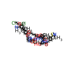 Cc1ncsc1-c1ccc(CNC(=O)[C@@H]2C[C@@H](O)CN2C(=O)[C@@H](NC(=O)COCCCCCOc2cc(C(C)(C)c3cc(Cl)c(OCCCl)c(C#N)c3)ccc2OCc2ccnc(NS(C)(=O)=O)n2)C(C)(C)C)cc1